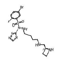 O=S(=O)(c1cc(Br)ccc1F)N(NCCCCNC[C@@H]1CCN1)c1ncns1